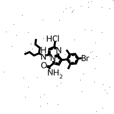 CCCC(CCC)Nc1cc(C)nc2c(-c3c(C)cc(Br)cc3C)cc(C(N)=O)n12.Cl